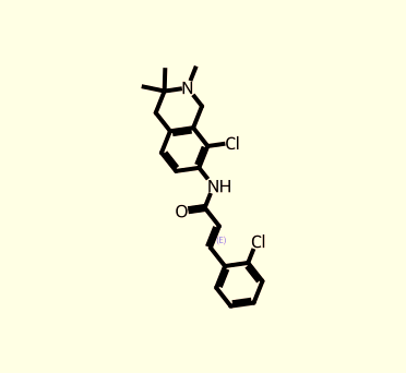 CN1Cc2c(ccc(NC(=O)/C=C/c3ccccc3Cl)c2Cl)CC1(C)C